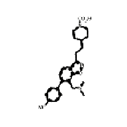 CN(C)Cc1c(-c2ccc(C#N)cc2)ccc2c(CCC3CCN(C(=O)O)CC3)noc12